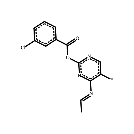 C/C=N/c1nc(OC(=O)c2cccc(Cl)c2)ncc1F